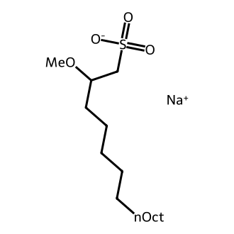 CCCCCCCCCCCCCC(CS(=O)(=O)[O-])OC.[Na+]